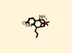 C/C=C1\C2C=C(C)CC1(N)c1ccc(=O)[nH]c1C2CCC